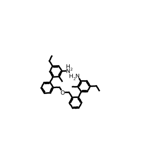 CCc1cc(N)c(C)c(-c2ccccc2COCc2ccccc2-c2cc(CC)cc(N)c2C)c1